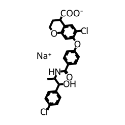 CC(NC(=O)c1ccc(Oc2cc3c(cc2Cl)C(C(=O)[O-])CCO3)cc1)C(O)c1ccc(Cl)cc1.[Na+]